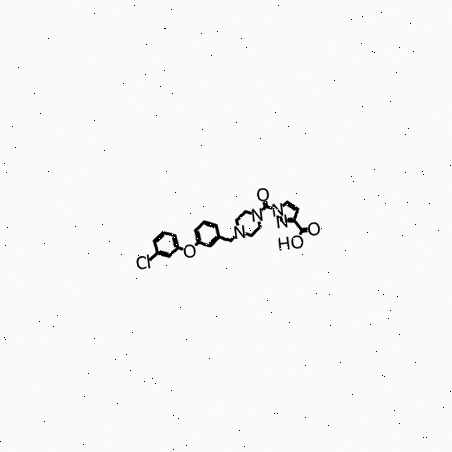 O=C(O)c1ccn(C(=O)N2CCN(Cc3cccc(Oc4cccc(Cl)c4)c3)CC2)n1